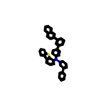 c1ccc(-c2cccc(N(c3ccc(-c4cccc(-c5ccc6ccccc6c5)c4)cc3)c3cccc4c3sc3ccccc34)c2)cc1